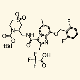 Cc1cc(OCc2c(F)cccc2F)c2nc(C)c(C(=O)NCC3CS(=O)(=O)CCN3C(=O)OC(C)(C)C)n2c1.O=C(O)C(F)(F)F